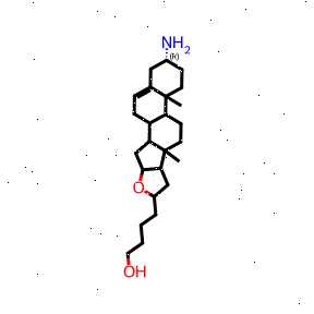 CC12CC[C@@H](N)CC1=CCC1C2CCC2(C)C3CC(CCCCO)OC3CC12